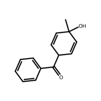 CC1(O)C=CC(C(=O)c2ccccc2)C=C1